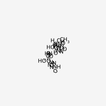 CC(C)C(=O)Nc1nc2c(ncn2[C@@H]2O[C@H](CNS(=O)(=O)O[C@H]3C[C@H](n4cnc5c(Nc6ccccc6)ncnc54)O[C@@H]3CO)C[C@H]2O[PH](=O)O)c(=O)[nH]1